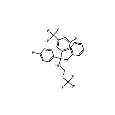 Fc1ccc([C@@](Cc2ccccc2)(NCCC(F)(F)F)c2cc(F)cc(C(F)(F)F)c2)cc1